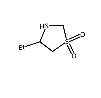 CCC1CS(=O)(=O)CN1